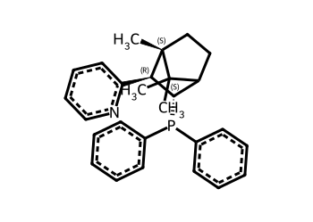 CC1(C)C2CC[C@@]1(C)[C@H](c1ccccn1)[C@H]2P(c1ccccc1)c1ccccc1